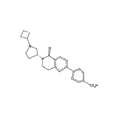 O=C(O)c1ccc(-c2ccc3c(c2)CCN([C@@H]2CCN(C4CCC4)C2)C3=O)cc1